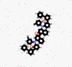 Cc1cccc(N(c2cc3oc4cc(N(c5cccc(C)c5)c5cccc6c5oc5c(-c7ccccc7)cccc56)c5ccccc5c4c3c3ccccc23)c2cccc3c2oc2c(-c4ccccc4)cccc23)c1